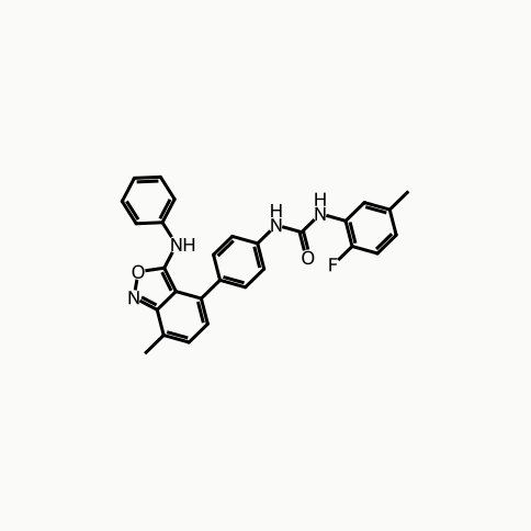 Cc1ccc(F)c(NC(=O)Nc2ccc(-c3ccc(C)c4noc(Nc5ccccc5)c34)cc2)c1